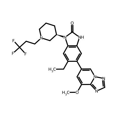 CCc1cc2c(cc1-c1cc(OC)c3ncnn3c1)[nH]c(=O)n2[C@@H]1CCCN(CCC(F)(F)F)C1